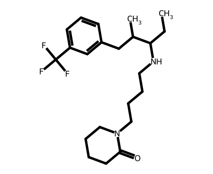 CCC(NCCCCN1CCCCC1=O)C(C)Cc1cccc(C(F)(F)F)c1